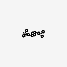 c1ccc(-c2nc3ccccc3n2-c2ccc(-c3ccc4ccc5c(-c6ccc(N(c7ccccc7)c7ccccc7)cc6)ccc6ccc3c4c65)cc2)cc1